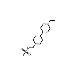 C=C[C@H]1CC[C@H]([C@H]2CC[C@H](COS(C)(=O)=O)CC2)CC1